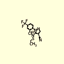 CCSNc1c(C#N)cnn1-c1ccc(C(F)(F)F)cc1Cl